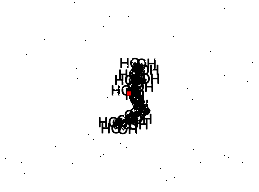 CC1(C)CC[C@]2(C(=O)O[C@@H]3OC[C@H](O[C@@H]4OC[C@@H](O)[C@H](O)[C@H]4O)[C@H](O)[C@H]3O)CC[C@]3(C)C(=CC[C@@H]4[C@@]5(C)C[C@H](O)[C@H](O[C@@H]6O[C@H](CO)[C@@H](O[C@@H]7OC[C@@H](O)[C@H](O)[C@H]7O)[C@H](O)[C@H]6O)[C@@](C)(CO)[C@@H]5CC[C@]43C)[C@@H]2C1